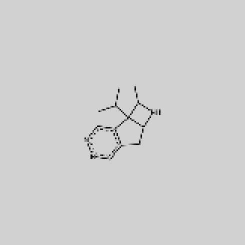 CC(C)C12c3cnncc3CC1NC2C